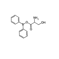 NC(CO)C(=O)OB(c1ccccc1)c1ccccc1